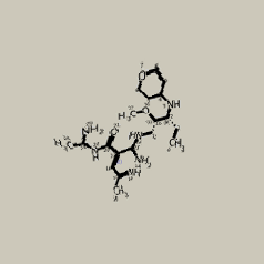 CC[C@@H](NC1CCOCC1)[C@H](CNC(N)/C(=C\C(C)=N)C(=O)NC(C)N)OC